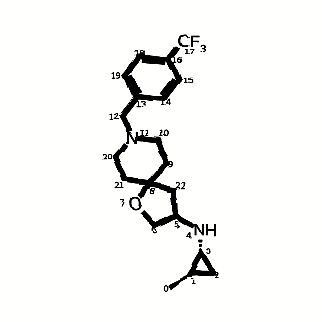 C[C@@H]1C[C@H]1NC1COC2(CCN(Cc3ccc(C(F)(F)F)cc3)CC2)C1